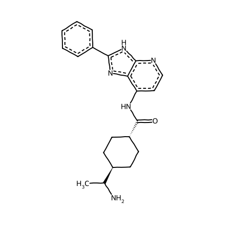 CC(N)[C@H]1CC[C@H](C(=O)Nc2ccnc3[nH]c(-c4ccccc4)nc23)CC1